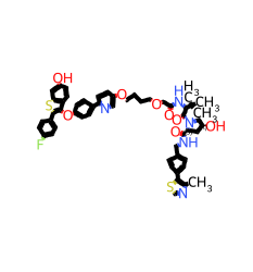 Cc1ncsc1-c1ccc(CNC(=O)[C@@H]2C[C@@H](O)CN2C(=O)C(NC(=O)COCCCCOc2ccc(-c3ccc(Oc4c(-c5ccc(F)cc5)sc5cc(O)ccc45)cc3)nc2)C(C)(C)C)cc1